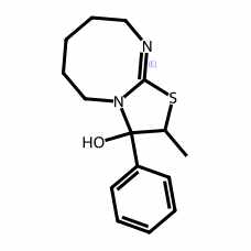 CC1S/C2=N/CCCCCN2C1(O)c1ccccc1